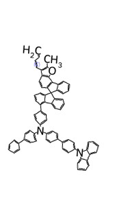 C=C/C=C\c1c(C)oc2c3c(ccc12)C1(c2ccccc2-c2c(-c4ccc(N(c5ccc(-c6ccccc6)cc5)c5ccc(-c6ccc(-n7c8ccccc8c8ccccc87)cc6)cc5)cc4)cccc21)c1ccccc1-3